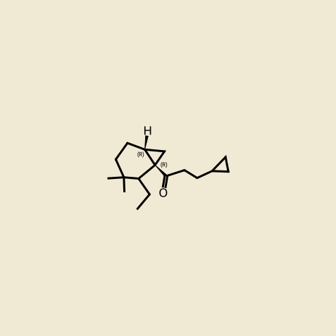 CCC1C(C)(C)CC[C@@H]2C[C@]12C(=O)CCC1CC1